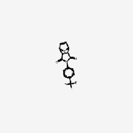 O=C1C2C3C=CC(O3)C2C(=O)N1c1ccc(C(F)(F)F)cc1